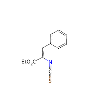 CCOC(=O)/C(=C/c1ccccc1)N=C=S